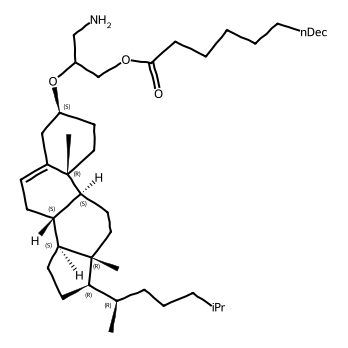 CCCCCCCCCCCCCCCC(=O)OCC(CN)O[C@H]1CC[C@@]2(C)C(=CC[C@H]3[C@@H]4CC[C@H]([C@H](C)CCCC(C)C)[C@@]4(C)CC[C@@H]32)C1